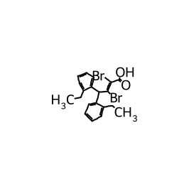 CCc1ccccc1C(C(Br)=C(Br)C(=O)O)c1ccccc1CC